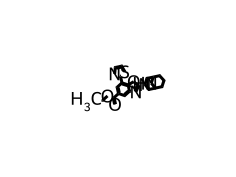 CCOC(=O)c1cc(-c2nccs2)c2oc(N3CC4CCCC(C3)N4)nc2c1